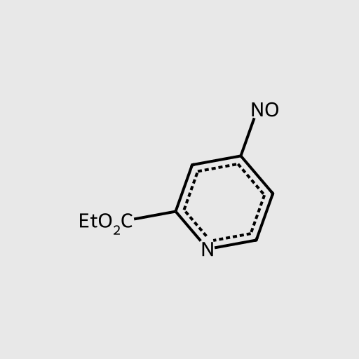 CCOC(=O)c1cc(N=O)ccn1